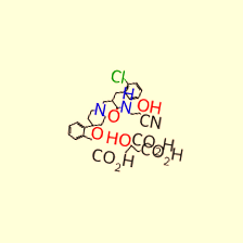 N#CCCNC(=O)C(Cc1cc(O)ccc1Cl)CN1CCC2(CC1)OCc1ccccc12.O=C(O)CC(O)(CC(=O)O)C(=O)O